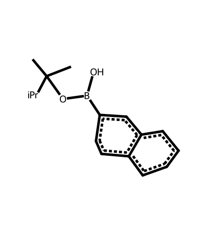 CC(C)C(C)(C)OB(O)c1ccc2ccccc2c1